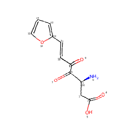 N[C@@H](CC(=O)O)C(=O)C(=O)C=Cc1ccco1